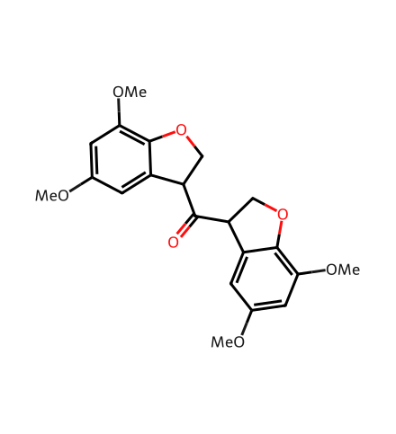 COc1cc(OC)c2c(c1)C(C(=O)C1COc3c(OC)cc(OC)cc31)CO2